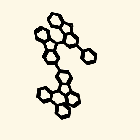 C1=c2oc3cc(-c4ccccc4)cc(-n4c5ccccc5c5ccc(-c6ccc7c8ccccc8n(-c8ccccc8-c8ccccc8)c7c6)cc54)c3c2=CCC1